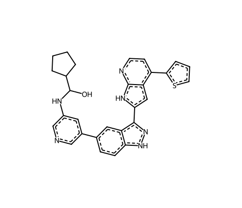 OC(Nc1cncc(-c2ccc3[nH]nc(-c4cc5c(-c6cccs6)ccnc5[nH]4)c3c2)c1)C1CCCC1